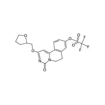 O=c1nc(OCC2CCCO2)cc2n1CCc1cc(OS(=O)(=O)C(F)(F)F)ccc1-2